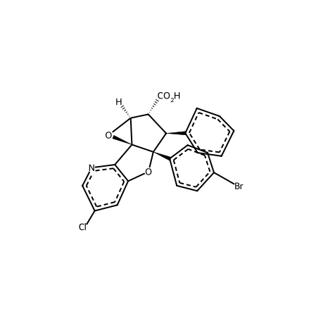 O=C(O)[C@@H]1[C@@H](c2ccccc2)[C@]2(c3ccc(Br)cc3)Oc3cc(Cl)cnc3[C@@]23O[C@@H]13